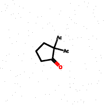 CC(=O)C1(C(C)=O)CCCC1=O